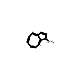 NC1C=CC2=C/C=C\C=C/C=C\21